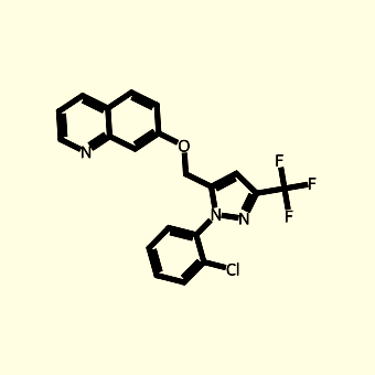 FC(F)(F)c1cc(COc2ccc3cccnc3c2)n(-c2ccccc2Cl)n1